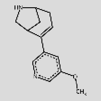 COc1cncc(C2=CCC3CC2CN3)c1